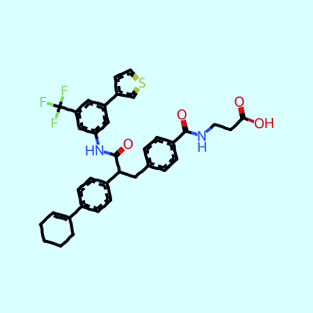 O=C(O)CCNC(=O)c1ccc(CC(C(=O)Nc2cc(-c3ccsc3)cc(C(F)(F)F)c2)c2ccc(C3=CCCCC3)cc2)cc1